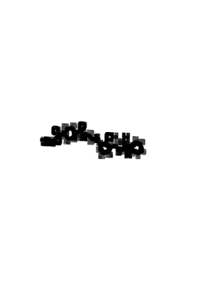 Cc1c(CSc2nc3ccccc3[nH]2)cccc1SCCNC(=O)C1CCN(C(=O)OC(C)(C)C)CC1